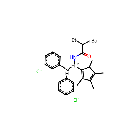 CCCCC(CC)C(=O)[NH][Hf+2]([C]1=C(C)C(C)=C(C)C1C)[SiH](c1ccccc1)c1ccccc1.[Cl-].[Cl-]